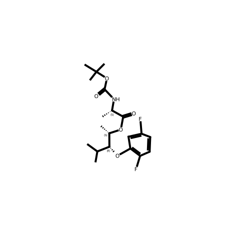 CC(C)[C@@H](Oc1cc(F)ccc1F)[C@H](C)OC(=O)[C@H](C)NC(=O)OC(C)(C)C